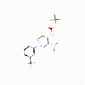 CN(C)[C@H]1CN(c2cccc(C(F)(F)F)c2)CC[C@@H]1NC(=O)OC(C)(C)C